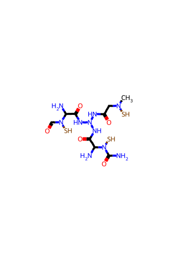 CN(S)CC(=O)NN(NC(=O)C(N)N(S)C=O)NC(=O)C(N)N(S)C(N)=O